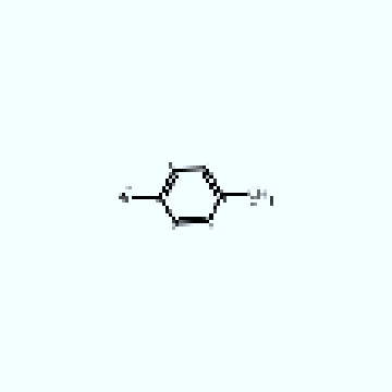 Cc1[c]cc(Br)cc1